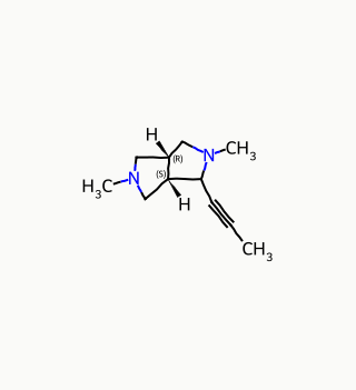 CC#CC1[C@@H]2CN(C)C[C@@H]2CN1C